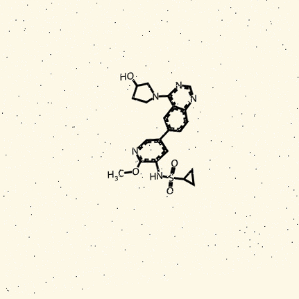 COc1ncc(-c2ccc3ncnc(N4CCC(O)C4)c3c2)cc1NS(=O)(=O)C1CC1